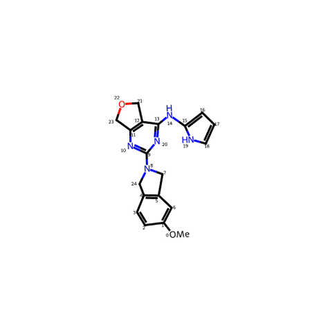 COc1ccc2c(c1)CN(c1nc3c(c(Nc4ccc[nH]4)n1)COC3)C2